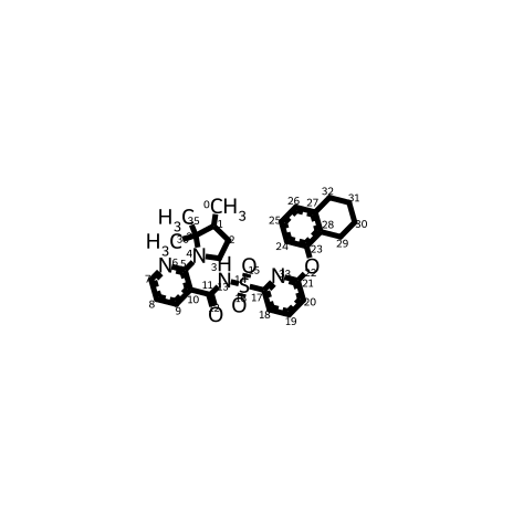 CC1CCN(c2ncccc2C(=O)NS(=O)(=O)c2cccc(Oc3cccc4c3CCCC4)n2)C1(C)C